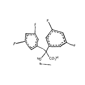 CBr.O=C(O)C(O)(c1cc(F)cc(F)c1)c1cc(F)cc(F)c1